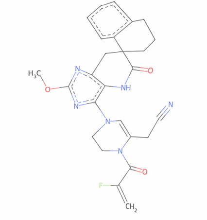 C=C(F)C(=O)N1CCN(c2nc(OC)nc3c2NC(=O)C2(CCCc4ccccc42)C3)C=C1CC#N